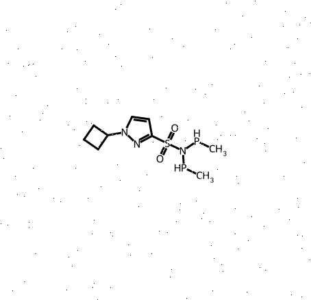 CPN(PC)S(=O)(=O)c1ccn(C2CCC2)n1